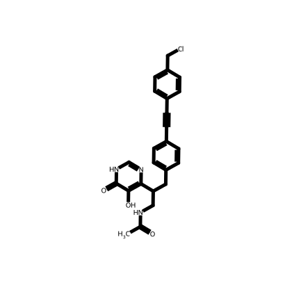 CC(=O)NCC(Cc1ccc(C#Cc2ccc(CCl)cc2)cc1)c1nc[nH]c(=O)c1O